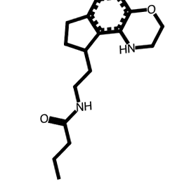 CCCC(=O)NCCC1CCc2ccc3c(c21)NCCO3